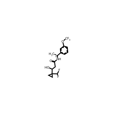 C[C@H](NC(=O)CC(O)C1(C(F)F)CC1)c1cccc(OC(F)(F)F)c1